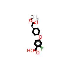 COC(=O)C[C@H]1CC[C@@H](Oc2ccc(C(=O)O)c(F)c2)CC1